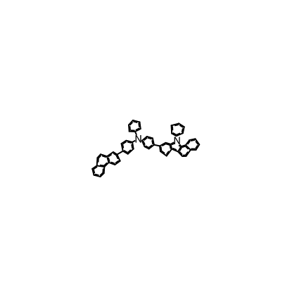 c1ccc(N(c2ccc(-c3ccc4c(ccc5ccccc54)c3)cc2)c2ccc(-c3ccc4c5ccc6ccccc6c5n(-c5ccccc5)c4c3)cc2)cc1